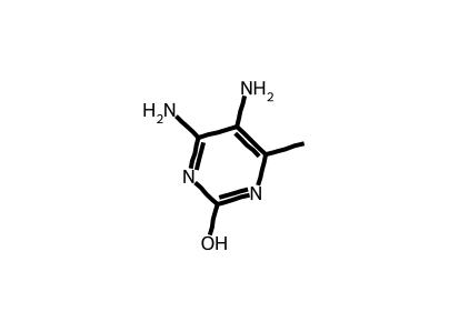 Cc1nc(O)nc(N)c1N